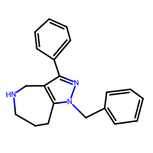 c1ccc(Cn2nc(-c3ccccc3)c3c2CCCNC3)cc1